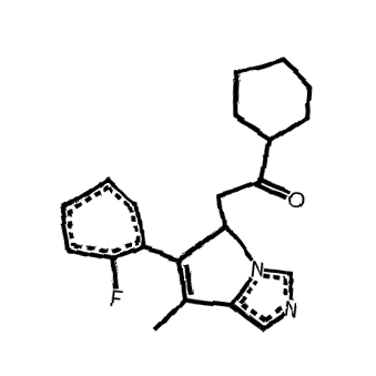 CC1=C(c2ccccc2F)C(CC(=O)C2CCCCC2)n2cncc21